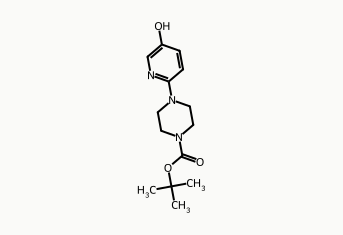 CC(C)(C)OC(=O)N1CCN(c2ccc(O)cn2)CC1